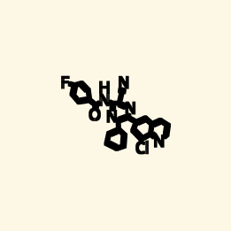 N#Cc1nc(-c2cc(Cl)c3ncccc3c2)c(-c2ccccc2)nc1NC(=O)c1ccc(F)cc1